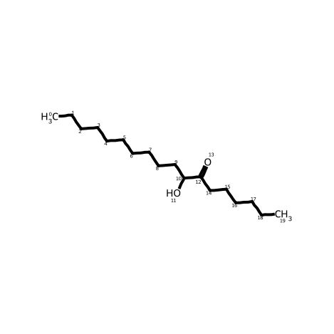 CCCCCCCCCCC(O)C(=O)CCCCCC